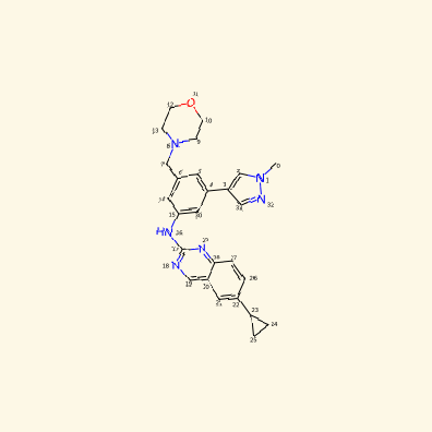 Cn1cc(-c2cc(CN3CCOCC3)cc(Nc3ncc4cc(C5CC5)ccc4n3)c2)cn1